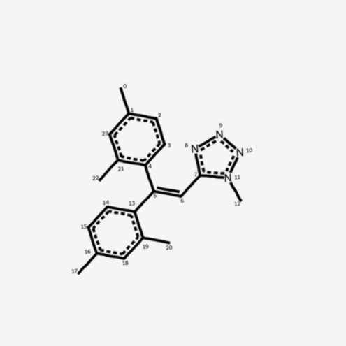 Cc1ccc(C(=Cc2nnnn2C)c2ccc(C)cc2C)c(C)c1